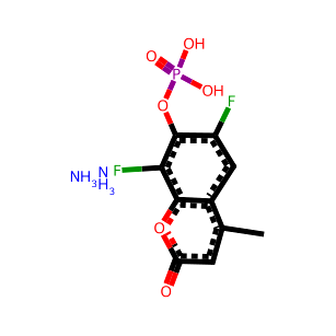 Cc1cc(=O)oc2c(F)c(OP(=O)(O)O)c(F)cc12.N.N